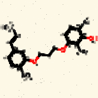 CCCc1c(OCCCOc2cc(C=CC(=O)O)ccc2[N+](=O)[O-])ccc(C(C)=O)c1O